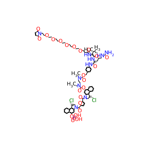 CCN(CCN(CC)C(=O)Oc1cc2c(c3ccccc13)[C@H](CCl)CN2C(=O)c1ccc(C(=O)N2C[C@@H](CCl)c3c2cc(OP(=O)(O)O)c2ccccc32)o1)C(=O)OCc1ccc(NC(=O)[C@H](CCCNC(N)=O)NC(=O)[C@@H](NC(=O)CCOCCOCCOCCOCCOCCOCCN2C(=O)C=CC2=O)C(C)C)cc1